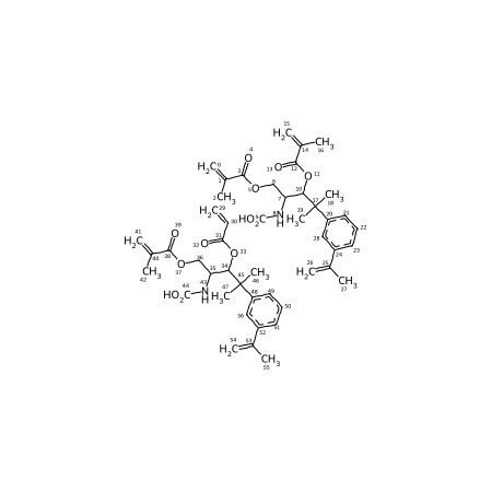 C=C(C)C(=O)OCC(NC(=O)O)C(OC(=O)C(=C)C)C(C)(C)c1cccc(C(=C)C)c1.C=CC(=O)OC(C(COC(=O)C(=C)C)NC(=O)O)C(C)(C)c1cccc(C(=C)C)c1